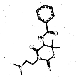 CN(C)CCN1C(=O)C(NC(=O)c2ccccc2)C(C)(C)SC1=S